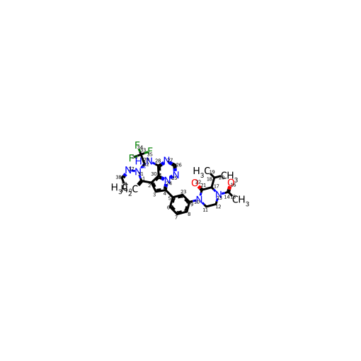 C=C(c1cc(-c2cccc(N3CCN(C(C)=O)C(C(C)C)C3=O)c2)n2ncnc(N)c12)N(CC(F)(F)F)/N=C\C